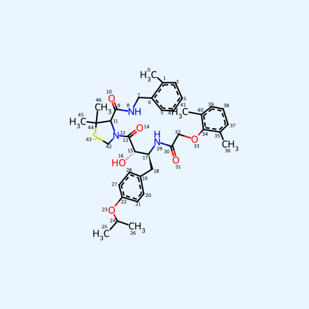 Cc1ccccc1CNC(=O)C1N(C(=O)[C@@H](O)[C@H](Cc2ccc(OC(C)C)cc2)NC(=O)COc2c(C)cccc2C)CSC1(C)C